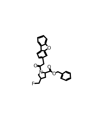 O=C(OCc1ccccc1)C1CC(CF)CN1C(=O)Cc1ccc2c(c1)oc1ccccc12